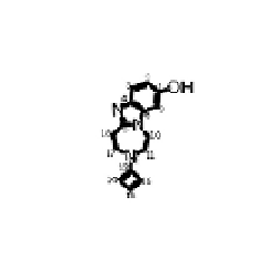 Oc1ccc2nc3n(c2c1)CCN(C1=CC=C1)CC3